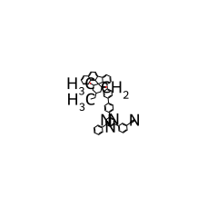 C=C1CC(CC)CC(C)C12c1c(-c3ccc(-c4ccc(-c5nc(-c6ccccc6)nc(-c6cccc(C#N)c6)n5)cc4)cc3)cccc1-c1ccc3ccccc3c12